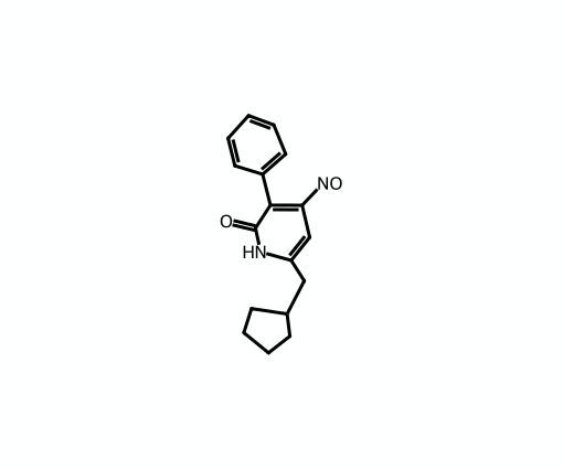 O=Nc1cc(CC2CCCC2)[nH]c(=O)c1-c1ccccc1